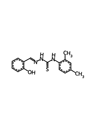 Cc1ccc(NC(=S)NN=Cc2ccccc2O)c(C)c1